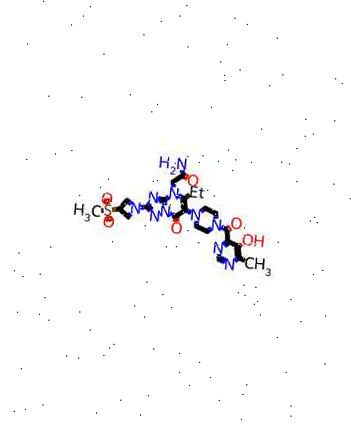 CCc1c(N2CCN(C(=O)c3ncnc(C)c3O)CC2)c(=O)n2nc(N3CC(S(C)(=O)=O)C3)nc2n1CC(N)=O